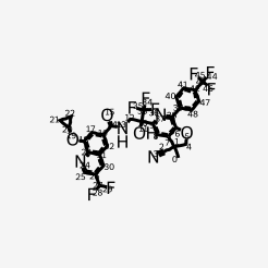 CC1(C#N)COc2c1cc(C(O)(CNC(=O)c1cc(OC3CC3)c3ncc(C(F)F)cc3c1)C(F)(F)F)nc2-c1ccc(C(F)(F)F)cc1